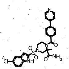 CC1(C(N)=O)CN(S(=O)(=O)c2cc3cc(Cl)ccc3[nH]2)CCN1C(=O)c1ccc(-c2ccncc2)cc1